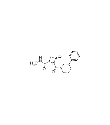 CNC(=O)C1CC(=O)N1C(=O)N1CCCC(c2ccccc2)C1